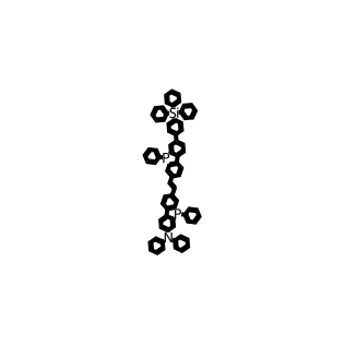 C(=C\c1ccc2c3ccc(N(c4ccccc4)c4ccccc4)cc3p(-c3ccccc3)c2c1)/c1ccc2c3ccc(-c4ccc([Si](c5ccccc5)(c5ccccc5)c5ccccc5)cc4)cc3p(-c3ccccc3)c2c1